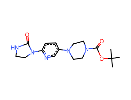 CC(C)(C)OC(=O)N1CCN(c2ccc(N3CCNC3=O)nc2)CC1